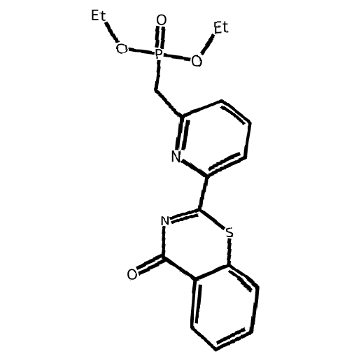 CCOP(=O)(Cc1cccc(-c2nc(=O)c3ccccc3s2)n1)OCC